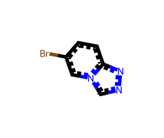 Brc1ccc2nn[c]n2c1